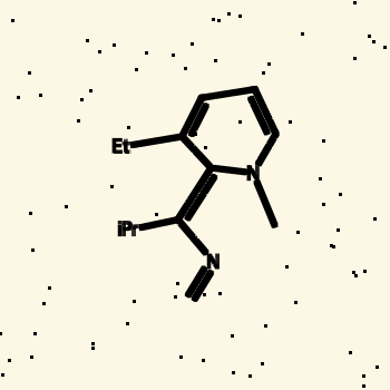 C=N/C(=C1/C(CC)=CC=CN1C)C(C)C